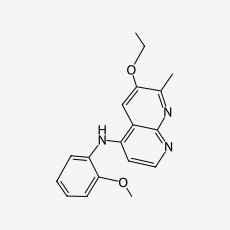 CCOc1cc2c(Nc3ccccc3OC)ccnc2nc1C